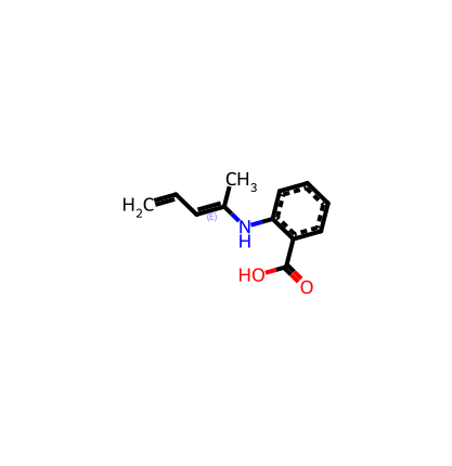 C=C/C=C(\C)Nc1ccccc1C(=O)O